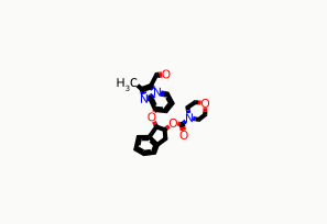 Cc1nc2c(OC3c4ccccc4CC3OC(=O)N3CCOCC3)cccn2c1C=O